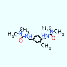 Cc1cc(CNC(=O)N(C)C)ccc1CNC(=O)N(C)C